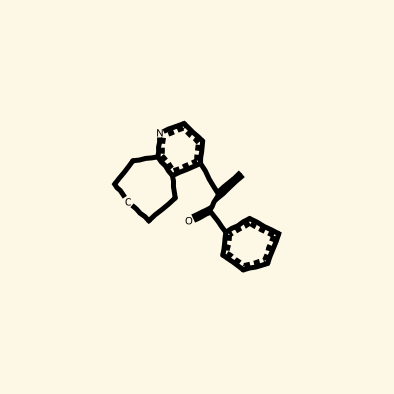 C=C(C(=O)c1ccccc1)c1ccnc2c1CCCCC2